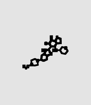 CN1CCN(c2ccc3nc(-c4c(NC5CCCOC5)c5ccsc5[nH]c4=O)[nH]c3c2)CC1